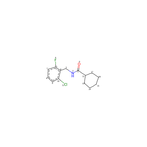 O=C(NCc1c(F)cccc1Cl)C1CCCCC1